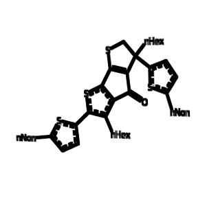 CCCCCCCCCc1ccc(-c2sc3c(c2CCCCCC)C(=O)C2=C3SCC2(CCCCCC)c2ccc(CCCCCCCCC)s2)s1